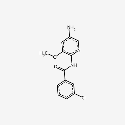 COc1cc(N)cnc1NC(=O)c1cccc(Cl)c1